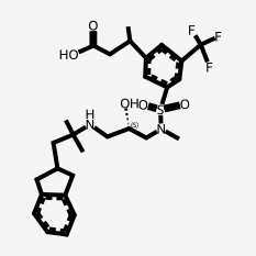 CC(CC(=O)O)c1cc(C(F)(F)F)cc(S(=O)(=O)N(C)C[C@@H](O)CNC(C)(C)CC2Cc3ccccc3C2)c1